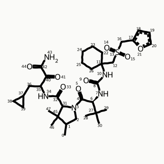 CC1CN(C(=O)[C@@H](NC(=O)NC2(CS(=O)(=O)Cc3ccco3)CCCCC2)C(C)(C)C)C(C(=O)NC(CC2CC2)C(=O)C(N)=O)C1(C)C